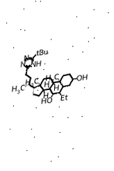 CC[C@@H]1C2C[C@H](O)CC[C@]2(C)[C@H]2CC[C@]3(C)[C@@H]([C@H](C)CCc4nnc(C(C)(C)C)[nH]4)CC[C@H]3[C@@H]2[C@@H]1O